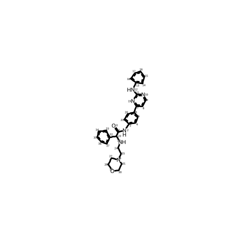 O=C(Nc1ccc(-c2ccnc(Nc3ccccc3)n2)cc1)C(NCCN1CCOCC1)c1ccccc1